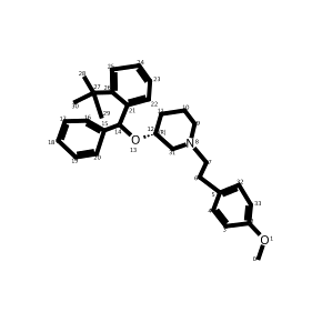 COc1ccc(CCN2CCC[C@@H](OC(c3ccccc3)c3ccccc3C(C)(C)C)C2)cc1